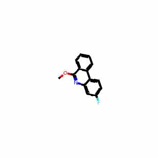 COc1nc2cc(F)ccc2c2ccccc12